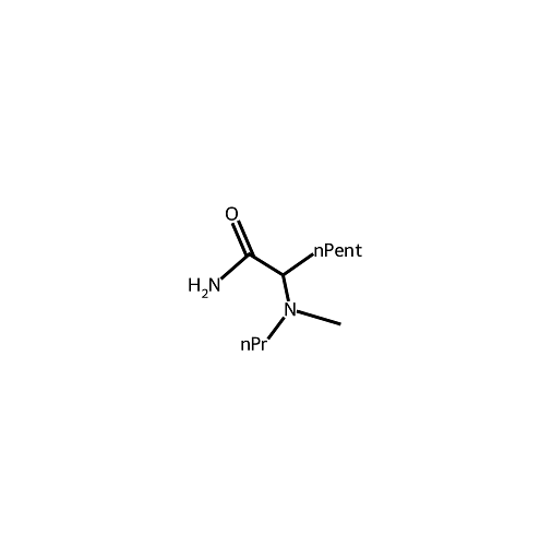 CCCCCC(C(N)=O)N(C)CCC